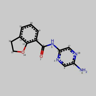 Nc1cnc(NC(=O)c2cccc3c2OCC3)cn1